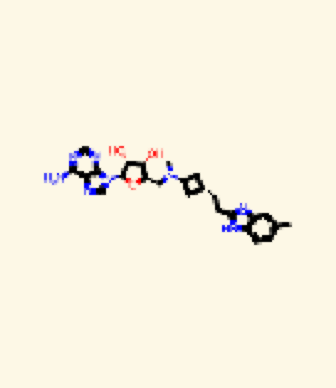 Cc1ccc2[nH]c(CC[C@H]3C[C@H](N(C)C[C@H]4O[C@@H](n5cnc6c(N)ncnc65)[C@H](O)[C@@H]4O)C3)nc2c1